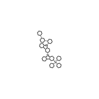 c1ccc(-c2cccc(-c3ccccc3-n3c4ccccc4c4cc(-n5c6ccccc6c6cc([Si](c7ccccc7)(c7ccccc7)c7ccccc7)ccc65)ccc43)c2)cc1